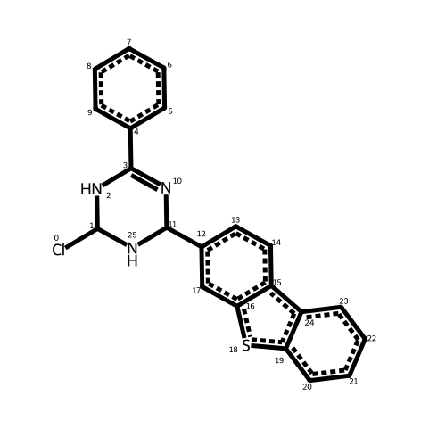 ClC1NC(c2ccccc2)=NC(c2ccc3c(c2)sc2ccccc23)N1